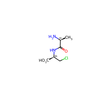 C[C@H](N)C(=O)N[C@@H](CCl)C(=O)O